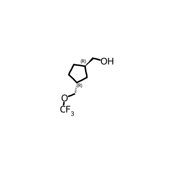 OC[C@@H]1CC[C@@H](COC(F)(F)F)C1